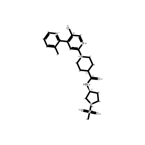 Cc1cccnc1-c1cc(N2CCC(C(=O)N[C@H]3CCN(S(C)(=O)=O)C3)CC2)ncc1Cl